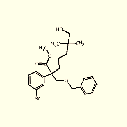 COC(=O)C(CCCC(C)(C)CO)(COCc1ccccc1)c1cccc(Br)c1